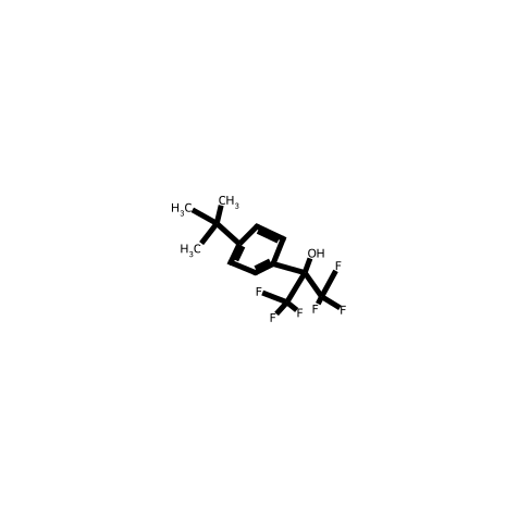 CC(C)(C)c1ccc(C(O)(C(F)(F)F)C(F)(F)F)cc1